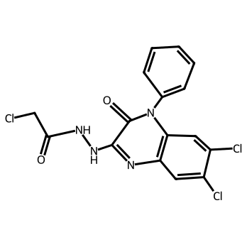 O=C(CCl)NNc1nc2cc(Cl)c(Cl)cc2n(-c2ccccc2)c1=O